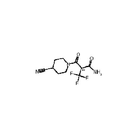 N#CC1CCN(C(=O)[C@@H](C(N)=O)C(F)(F)F)CC1